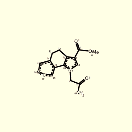 COC(=O)c1cn(CC(N)=O)c2c1CCc1cnccc1-2